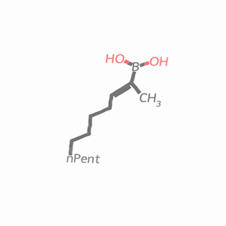 CCCCCCCCC/C=C(\C)B(O)O